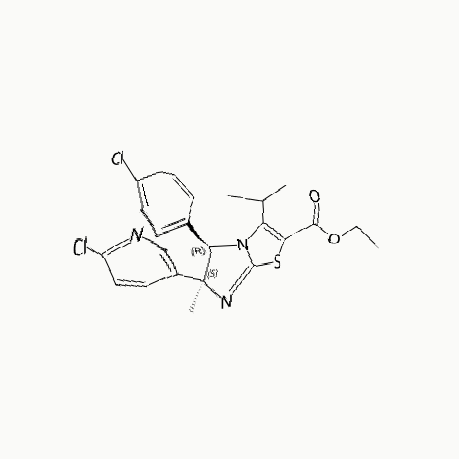 CCOC(=O)C1=C(C(C)C)N2C(=N[C@@](C)(c3ccc(Cl)nc3)[C@H]2c2ccc(Cl)cc2)S1